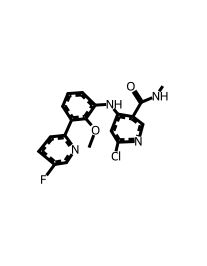 CNC(=O)c1cnc(Cl)cc1Nc1cccc(-c2ccc(F)cn2)c1OC